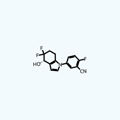 N#Cc1cc(-n2c[c]c3c2CCC(F)(F)[C@H]3O)ccc1F